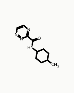 CC1CCC(NC(=O)c2nccnn2)CC1